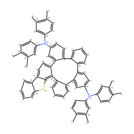 Cc1ccc(N(c2ccc(C)c(C)c2)c2ccc3c4ccccc4c4ccc(N(c5ccc(C)c(C)c5)c5ccc(C)c(C)c5)cc4c4ccc5c6ccccc6sc5c4c4ccccc4c3c2)cc1C